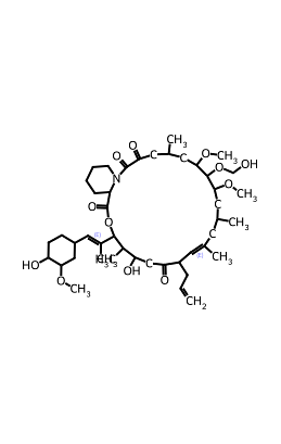 C=CCC1/C=C(\C)CC(C)CC(OC)C(OCO)C(OC)CC(C)CC(=O)C(=O)N2CCCCC2C(=O)OC(/C(C)=C/C2CCC(O)C(OC)C2)C(C)C(O)CC1=O